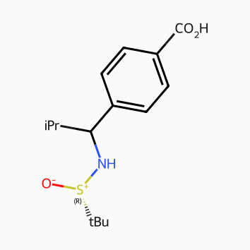 CC(C)C(N[S@@+]([O-])C(C)(C)C)c1ccc(C(=O)O)cc1